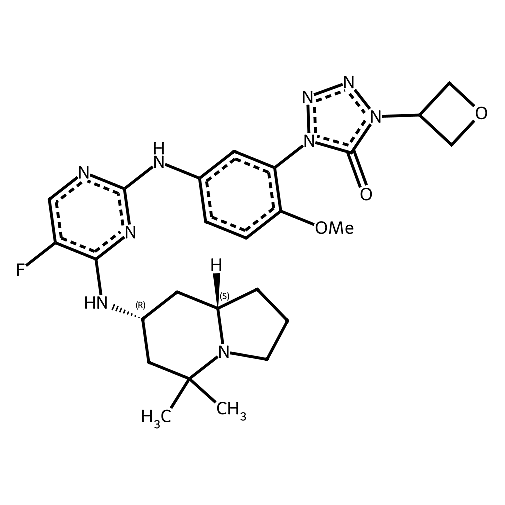 COc1ccc(Nc2ncc(F)c(N[C@@H]3C[C@@H]4CCCN4C(C)(C)C3)n2)cc1-n1nnn(C2COC2)c1=O